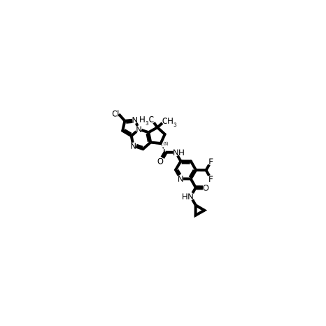 CC1(C)C[C@H](C(=O)Nc2cnc(C(=O)NC3CC3)c(C(F)F)c2)c2cnc3cc(Cl)nn3c21